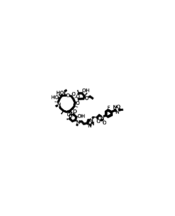 CCO[C@]1(C)C[C@H](O[C@H]2[C@H](C)[C@@H](O[C@@H]3O[C@H](C)C[C@H](N(C)CCc4cn(C[C@H]5CN(c6ccc(-c7noc(C)n7)c(F)c6)C(=O)O5)nn4)[C@H]3O)[C@](C)(O)C[C@@H](C)CN(C)[C@H](C)[C@@H](O)[C@](C)(O)[C@@H](CC)OC(=O)[C@@H]2C)O[C@@H](C)[C@@H]1O